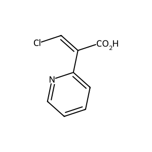 O=C(O)/C(=C/Cl)c1ccccn1